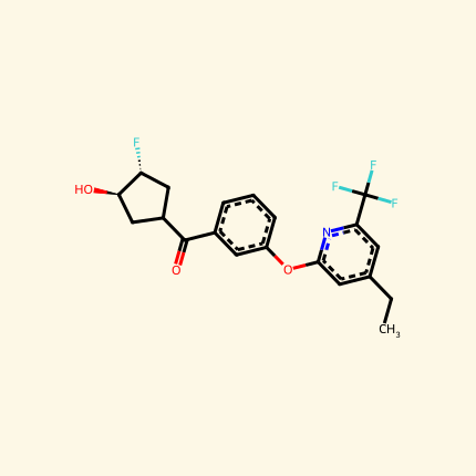 CCc1cc(Oc2cccc(C(=O)C3C[C@@H](O)[C@H](F)C3)c2)nc(C(F)(F)F)c1